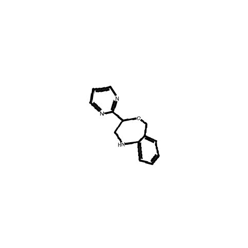 c1cnc(C2CNc3ccccc3CO2)nc1